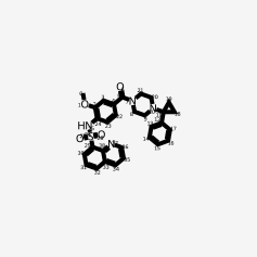 COc1cc(C(=O)N2CCN(C3(c4ccccc4)CC3)CC2)ccc1NS(=O)(=O)c1cccc2cccnc12